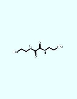 CC(=O)OCCNC(=O)C(=O)NCCO